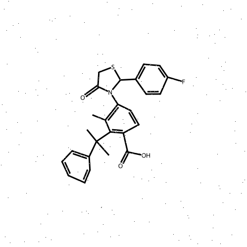 Cc1c(N2C(=O)CSC2c2ccc(F)cc2)ccc(C(=O)O)c1C(C)(C)c1ccccc1